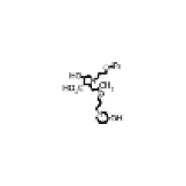 CC(C)OCCCN1CC(O)C(C(=O)O)C1CC(C)OCCCN1CCC[C@@H](O)C1